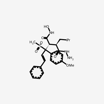 COc1ccc(C(/C=C/c2ccccc2)([C@H](C(=O)NO)[C@@H](CC(C)C)C(=O)NN)S(C)(=O)=O)cc1